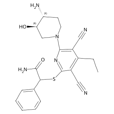 CCc1c(C#N)c(SC(C(N)=O)c2ccccc2)nc(N2CC[C@@H](N)[C@H](O)C2)c1C#N